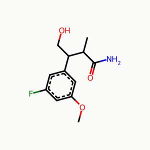 COc1cc(F)cc(C(CO)C(C)C(N)=O)c1